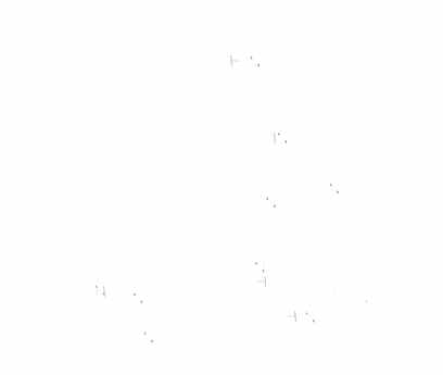 CC(N)CNc1ncc(C(N)=O)c(Nc2cccc(-n3nccn3)c2)n1